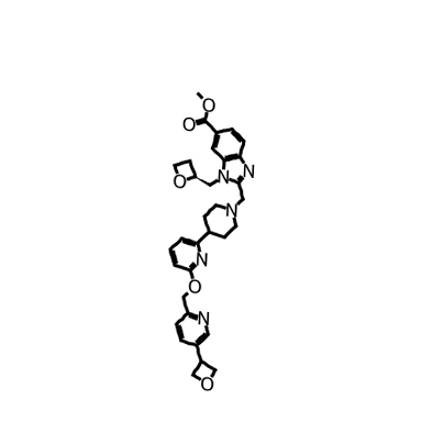 COC(=O)c1ccc2nc(CN3CCC(c4cccc(OCc5ccc(C6COC6)cn5)n4)CC3)n(C[C@@H]3CCO3)c2c1